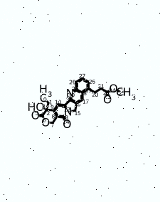 CC[C@@]1(O)C(=O)OCc2c1cc1n(c2=O)Cc2cc3c(CCC(=O)OC)cccc3nc2-1